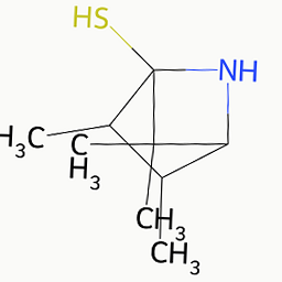 CC1C2NC(S)(C1C)C2(C)C